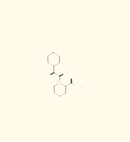 O=C(C(=O)N1CCCCC1C(=O)O)C1CCCCC1